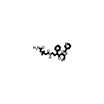 CC(C)Cc1nc(-c2cccnc2)oc1C(=O)C(CCNC(=O)CC(C)(C)CC(N)=O)c1ccccc1